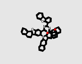 c1ccc2cc3c(cc2c1)c1cc2ccccc2cc1n3-c1cc2c(cc1-c1nc(-c3cccc4ccccc34)nc(-c3cccc4c3oc3ccccc34)n1)oc1c3ccccc3ccc21